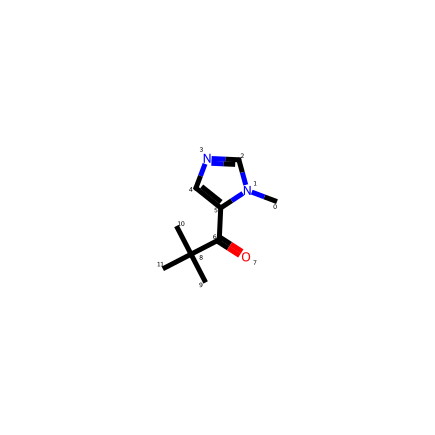 Cn1cncc1C(=O)C(C)(C)C